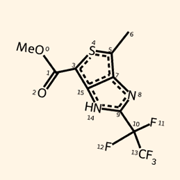 COC(=O)c1sc(C)c2nc(C(F)(F)C(F)(F)F)[nH]c12